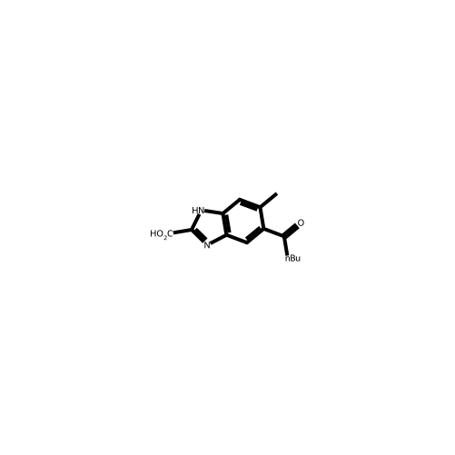 CCCCC(=O)c1cc2nc(C(=O)O)[nH]c2cc1C